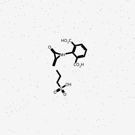 C=C1NC1=O.CCCS(=O)(=O)O.Cc1c(C(=O)O)cccc1C(=O)O